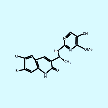 COc1nc(N[C@@H](C)c2cc3cc(Cl)c(Br)cc3[nH]c2=O)ncc1C#N